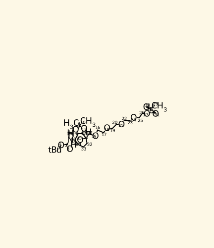 CC(C)(C)OC(=O)N[C@@H]1[C@H]2OC(C)(C)O[C@H]2[C@]2(COCCOCCOCCOCCOS(C)(=O)=O)CC[C@H]1O2